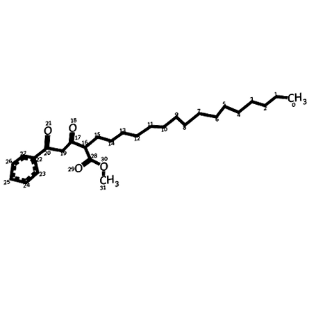 CCCCCCCCCCCCCCCCC(C(=O)CC(=O)c1ccccc1)C(=O)OC